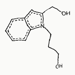 OCCCn1c(CO)cc2ccccc21